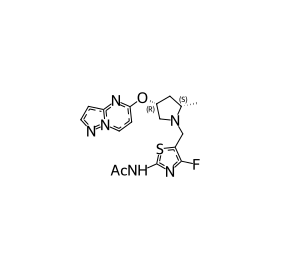 CC(=O)Nc1nc(F)c(CN2C[C@H](Oc3ccn4nccc4n3)C[C@@H]2C)s1